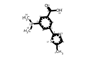 Cc1cnc(-c2cc(C(=O)O)cc(P(C)C)c2)s1